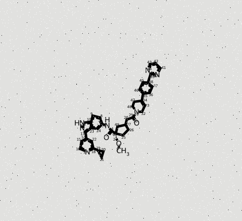 COC[C@@]1(C(=O)Nc2ccc3[nH]nc(-c4ccnc(C5CC5)c4)c3c2)CCC(CC(=O)N2CC=C(c3ccc(-c4ncccn4)cc3)CC2)C1